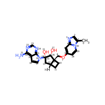 Cc1cnc2cc(OC[C@@]34CC[C@@H]3C[C@@](O)(n3ccc5c(N)ncnc53)[C@@H]4O)ccn12